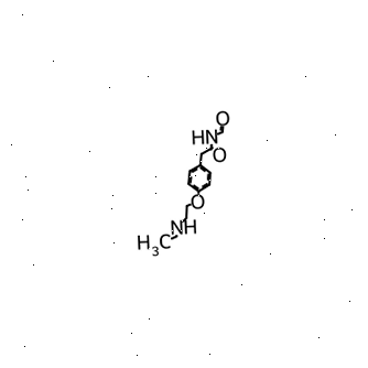 CCNCCOc1ccc(CC(=O)NC=O)cc1